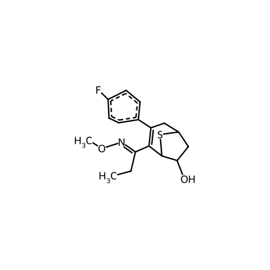 CCC(=NOC)C1=C(c2ccc(F)cc2)CC2CC(O)C1S2